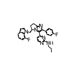 CCCNc1nccc(-c2c(-c3ccc(F)cc3)nc3n2C(Cn2ccc4cccc(F)c42)CC3)n1